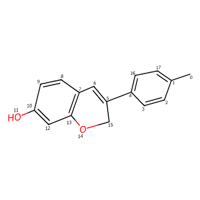 Cc1ccc(C2=Cc3ccc(O)cc3OC2)cc1